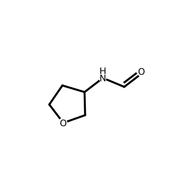 O=CNC1CCOC1